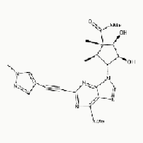 CNC(=O)[C@@]1(C)[C@H](C)[C@@H](n2cnc3c(NC)nc(C#Cc4cnn(C)c4)nc32)[C@H](O)[C@@H]1O